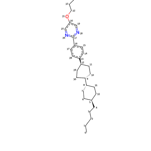 CCCCC[C@H]1CC[C@H]([C@H]2CC[C@H](c3ccc(-c4ncc(OCCC)cn4)cc3)CC2)CC1